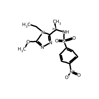 CCn1c(OC)nnc1[C@@H](C)NS(=O)(=O)c1ccc([N+](=O)[O-])cc1